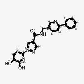 N#Cc1cnc(-n2cc(C(=O)NCc3ccc(-c4ccccc4)nc3)cn2)nc1O